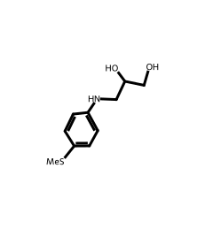 CSc1ccc(NCC(O)CO)cc1